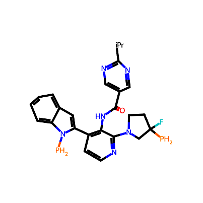 CC(C)c1ncc(C(=O)Nc2c(-c3cc4ccccc4n3P)ccnc2N2CCC(F)(P)C2)cn1